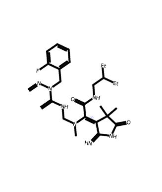 C=NN(Cc1ccccc1F)C(=C)NCN(C)/C(C(=O)NCC(CC)CC)=C1\C(=N)NC(=O)C1(C)C